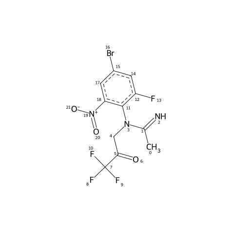 CC(=N)N(CC(=O)C(F)(F)F)c1c(F)cc(Br)cc1[N+](=O)[O-]